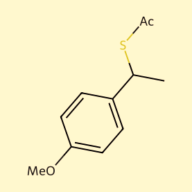 COc1ccc(C(C)SC(C)=O)cc1